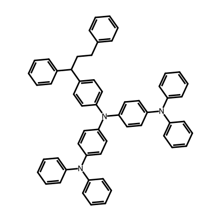 c1ccc(CCC(c2ccccc2)c2ccc(N(c3ccc(N(c4ccccc4)c4ccccc4)cc3)c3ccc(N(c4ccccc4)c4ccccc4)cc3)cc2)cc1